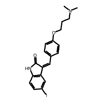 CN(C)CCCOc1ccc(C=C2C(=O)Nc3ccc(I)cc32)cc1